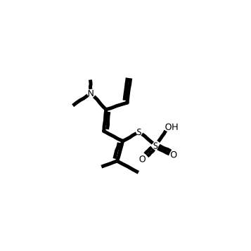 C=C/C(=C\C(SS(=O)(=O)O)=C(C)C)N(C)C